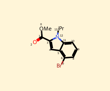 COC(=O)c1cc2c(Br)cccc2n1C(C)C